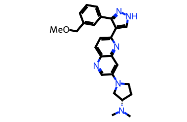 COCc1cccc(-c2n[nH]cc2-c2ccc3ncc(N4CC[C@H](N(C)C)C4)cc3n2)c1